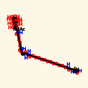 CC(=O)NC1C(O)[C@H](O[C@@H]2OC(CO)[C@H](O)C(O[C@H]3OC(CO)[C@H](O)C(O)C3O)C2O)C(CO)O[C@H]1OCCCNC(=O)CCOCCOCCOCCOCCNC(=O)COc1cccc(C(=O)NCCNC(=O)CCOCCOCCOCCOCCOCCOCCOCCOCCOCCOCCOCCOCCNC(=O)CCCC[C@@H]2SC[C@@H]3NC(=O)N[C@@H]32)c1